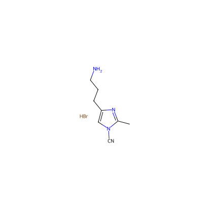 Br.Cc1nc(CCCN)cn1C#N